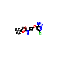 CC(C)(C)OC(=O)NC1CC(Oc2cc(Cl)nnc2N)C1